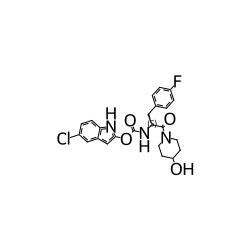 O=C(N[C@@H](Cc1ccc(F)cc1)C(=O)N1CCC(O)CC1)Oc1cc2cc(Cl)ccc2[nH]1